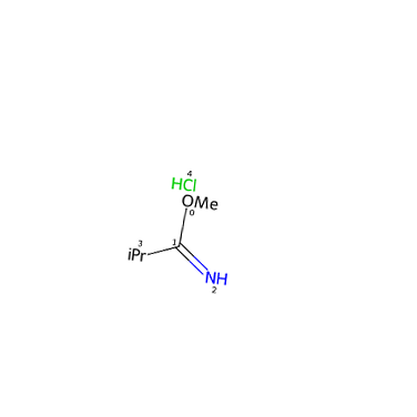 COC(=N)C(C)C.Cl